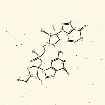 Nc1nc2c(ncn2C2(OP(=O)(S)OC[C@H]3OC[C@](F)(n4cnc5c(=O)[nH]cnc54)[C@@H]3O)CO[C@H](CO)[C@@H]2F)c(=O)[nH]1